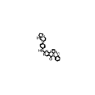 O=c1c2cnc(Nc3ccc(N4CCN5CCC[C@H]5C4)cc3)nc2n2ccnc2n1-c1ccccc1Cl